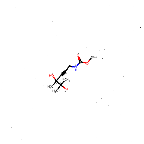 CC(C)(C)OC(=O)NCC#CC(C)(O)C(C)(C)O